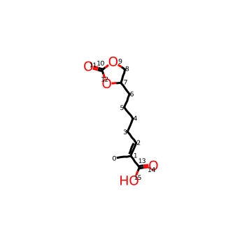 C/C(=C\CCCCC1COC(=O)O1)C(=O)O